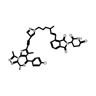 Cc1c(C#Cc2cnn(CCCC(C)/C=C/c3cccc4c3C(=O)N(C3CCC(=O)NC3=O)C4=O)c2)sc2c1C(c1ccc(Cl)cc1)=N[C@@H](C)c1nnc(C)n1-2